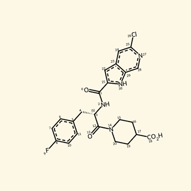 O=C(N[C@@H](Cc1ccc(F)cc1)C(=O)N1CCC(C(=O)O)CC1)c1cc2cc(Cl)ncc2[nH]1